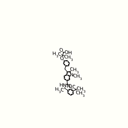 Cc1c(Cc2cccc(OC(C)(C)C(=O)O)c2)c2ccc(C(=O)N[C@@H](C)c3cccc(C(C)(C)C)c3)cc2n1C